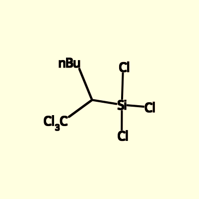 CCCCC(C(Cl)(Cl)Cl)[Si](Cl)(Cl)Cl